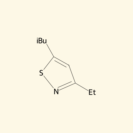 CCc1cc(C(C)CC)sn1